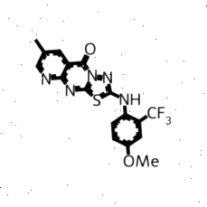 COc1ccc(Nc2nn3c(=O)c4cc(C)cnc4nc3s2)c(C(F)(F)F)c1